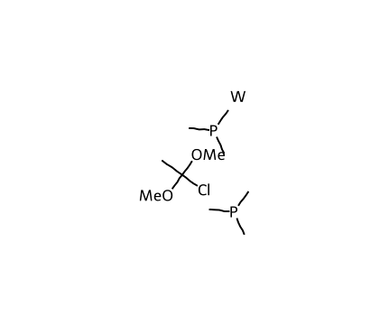 COC(C)(Cl)OC.CP(C)C.CP(C)C.[W]